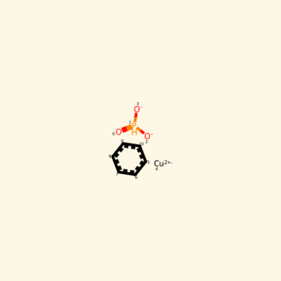 O=[PH]([O-])[O-].[Cu+2].c1ccccc1